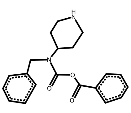 O=C(OC(=O)N(Cc1ccccc1)C1CCNCC1)c1ccccc1